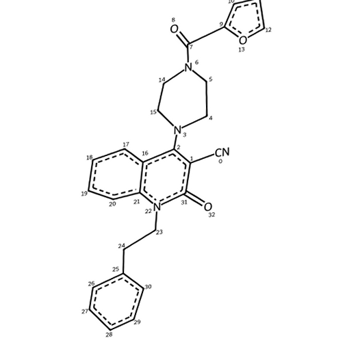 N#Cc1c(N2CCN(C(=O)c3ccco3)CC2)c2ccccc2n(CCc2ccccc2)c1=O